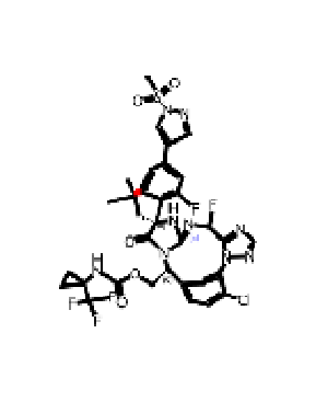 CC(C)(C)C[C@]1(c2ccc(-c3cnn(S(C)(=O)=O)c3)cc2F)N/C2=N\C(F)c3ncnn3-c3cc(ccc3Cl)[C@@H](COC(=O)NC3(C(F)(F)F)CC3)N2C1=O